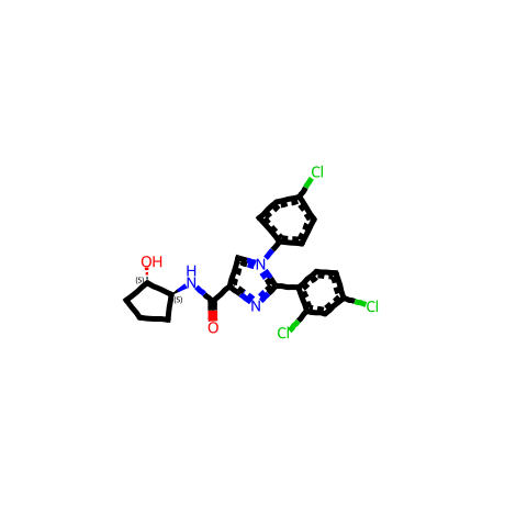 O=C(N[C@H]1CCC[C@@H]1O)c1cn(-c2ccc(Cl)cc2)c(-c2ccc(Cl)cc2Cl)n1